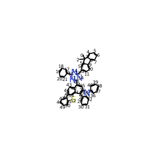 CC1(C)c2ccccc2-c2ccc(-c3nc(-c4ccccc4)nc(-c4cc5c(c6ccccc6n5-c5ccccc5)c5c4ccc4c6ccccc6sc45)n3)cc21